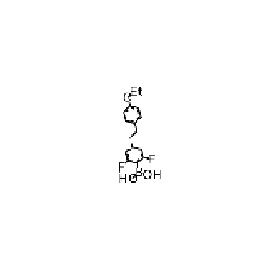 CCOc1ccc(CCc2cc(F)c(B(O)O)c(F)c2)cc1